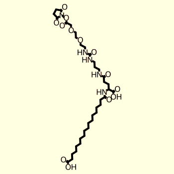 O=C(O)CCCCCCCCCCCCCCCCC(=O)NC(CCC(=O)NCCCNC(=O)NCCOCCOCC(=O)ON1C(=O)CCC1=O)C(=O)O